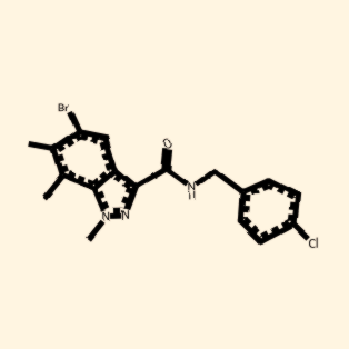 Cc1c(Br)cc2c(C(=O)NCc3ccc(Cl)cc3)nn(C)c2c1C